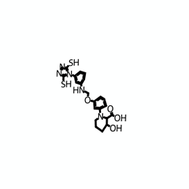 O=C(O)C1C(O)CCCN1c1cccc(OCNc2cccc(-n3c(S)nnc3S)c2)c1